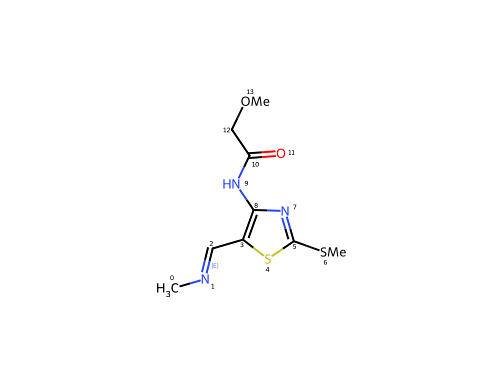 C/N=C/c1sc(SC)nc1NC(=O)COC